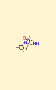 C=C1C=C2N(Cc3cc(C)cc(C)c31)C(=O)N(CC)C21CCNCC1